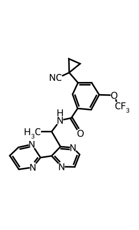 CC(NC(=O)c1cc(OC(F)(F)F)cc(C2(C#N)CC2)c1)c1nccnc1-c1ncccn1